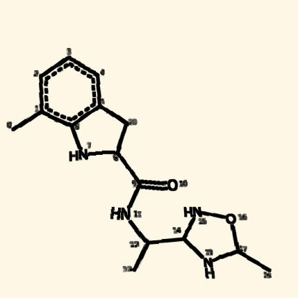 Cc1cccc2c1NC(C(=O)NC(C)C1NOC(C)N1)C2